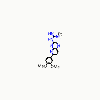 CCNC(=N)Nc1cnc2ccc(-c3ccc(OC)c(OC)c3)nc2n1